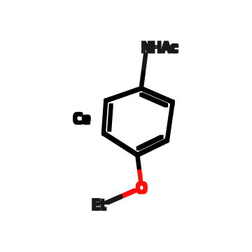 CCOc1ccc(NC(C)=O)cc1.[Ce]